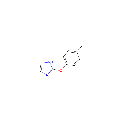 Cc1ccc(Oc2ncc[nH]2)cc1